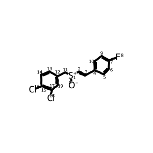 [O-][S+](C=Cc1ccc(F)cc1)Cc1ccc(Cl)c(Cl)c1